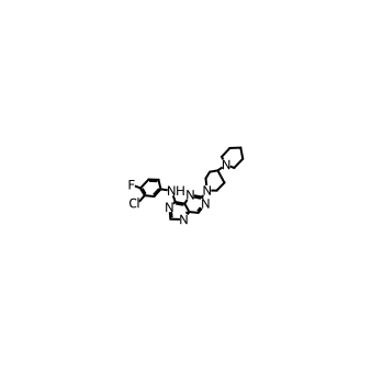 Fc1ccc(Nc2ncnc3cnc(N4CCC(N5CCCCC5)CC4)nc23)cc1Cl